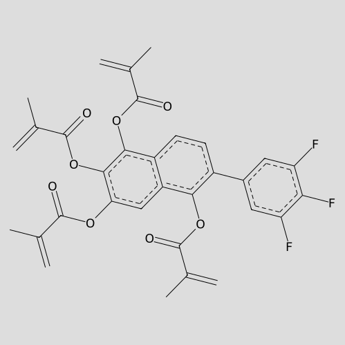 C=C(C)C(=O)Oc1cc2c(OC(=O)C(=C)C)c(-c3cc(F)c(F)c(F)c3)ccc2c(OC(=O)C(=C)C)c1OC(=O)C(=C)C